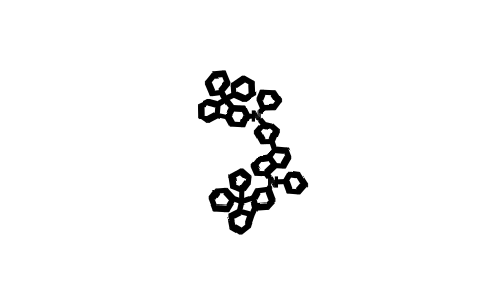 c1ccc(N(c2ccc(-c3cccc4c(N(c5ccccc5)c5ccc6c(c5)C(c5ccccc5)(c5ccccc5)c5ccccc5-6)cccc34)cc2)c2ccc3c(c2)C(c2ccccc2)(c2ccccc2)c2ccccc2-3)cc1